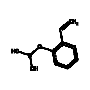 C=Cc1ccccc1OB(O)O